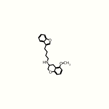 COc1cccc2c1CC(NCCCCc1coc3ccccc13)CO2